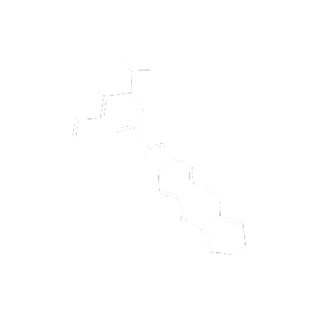 O=[N+]([O-])c1cc([N+](=O)[O-])c(O)c([N+](=O)[O-])c1.c1ccc2c(c1)Nc1ccccc1S2